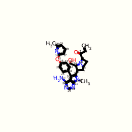 C=CC(=O)C1CC2CC(c3c(-c4ccc(Oc5cccc(C)n5)cc4)c4c(N)ncnc4n3C)C(CO)N21